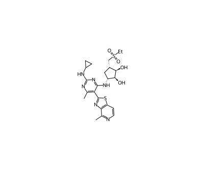 CCS(=O)(=O)C[C@H]1C[C@@H](Nc2nc(NC3CC3)nc(C)c2-c2nc3c(C)nccc3s2)[C@H](O)[C@@H]1O